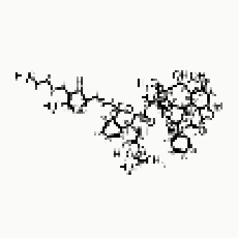 CCCCCC(NC(=O)CSCC(=O)O[C@@H](C(=O)O[C@H]1C[C@@]2(O)C(OC(=O)c3ccccc3)[C@@H]3[C@]4(OC(C)=O)CO[C@@H]4CC(=O)[C@@]3(C)[C@H](O)[C@H](O)[C@H](C1C)C2(C)C)[C@@H](NC(=O)OC(C)(C)C)c1ccccc1)C(C)=O